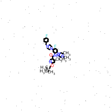 C[C@@H]1CN(c2cc(F)c(N3CCN(Cc4ccc(F)cc4)CC3)cc2NC(=O)c2cnc(OCC[Si](C)(C)C)cc2C(F)(F)F)C[C@H](C)N1C